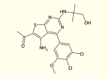 COc1cc(-c2nc(NC(C)(C)CO)nc3sc(C(C)=O)c(N)c23)cc(Cl)c1Cl